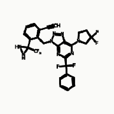 C#Cc1cccc(C2(C(F)(F)F)NN2)c1Cn1nnc2c(N3CCC(F)(F)C3)nc(C(F)(F)c3ccccc3)nc21